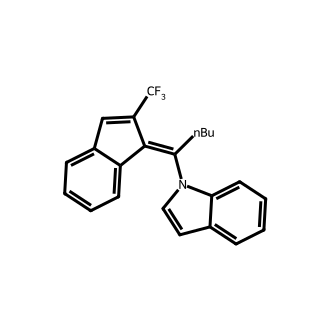 CCCCC(=C1C(C(F)(F)F)=Cc2ccccc21)n1ccc2ccccc21